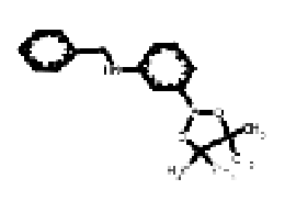 CC1(C)OB(c2cccc(NCc3ccccc3)c2)OC1(C)C